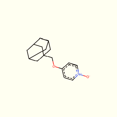 [O-][n+]1ccc(OCC23CC4CC(CC(C4)C2)C3)cc1